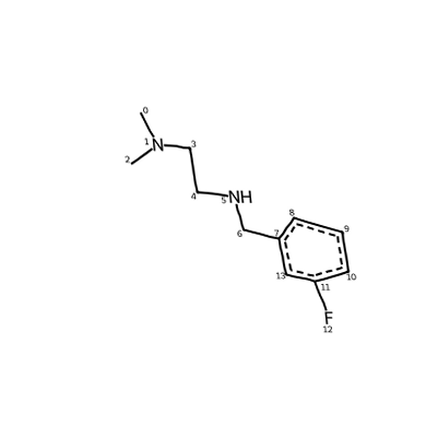 CN(C)CCNCc1cccc(F)c1